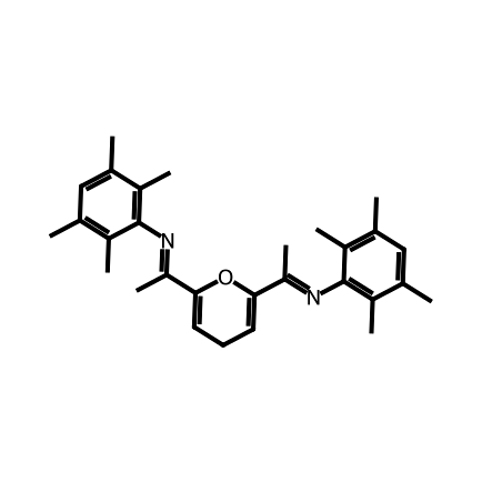 C/C(=N\c1c(C)c(C)cc(C)c1C)C1=CCC=C(/C(C)=N/c2c(C)c(C)cc(C)c2C)O1